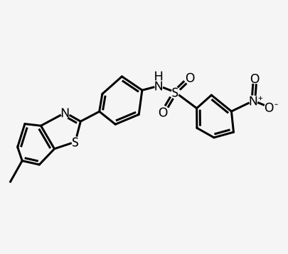 Cc1ccc2nc(-c3ccc(NS(=O)(=O)c4cccc([N+](=O)[O-])c4)cc3)sc2c1